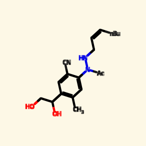 CCCC/C=C\CNN(C(C)=O)c1cc(C)c(C(O)CO)cc1C#N